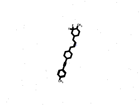 Cc1ccc(C#CC2CCC(C/C=C\CC3CCC(C)C(F)(F)C3)CC2)cc1